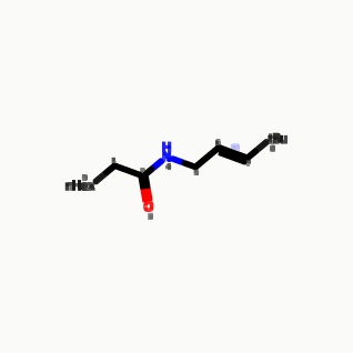 CCCCCCCC(=O)NC/C=C/C(C)(C)C